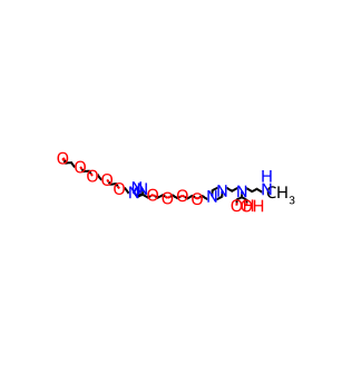 CNCCCCN(CCCN1CCN(CCOCCOCCOCCOCc2cn(CCOCCOCCOCCOCCC=O)nn2)CC1)C(CO)CO